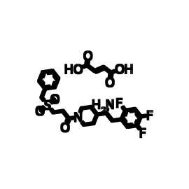 N[C@H](Cc1cc(F)c(F)cc1F)C1CCN(C(=O)CCS(=O)(=O)Cc2ccccc2)CC1.O=C(O)C=CC(=O)O